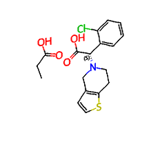 CCC(=O)O.O=C(O)[C@H](c1ccccc1Cl)N1CCc2sccc2C1